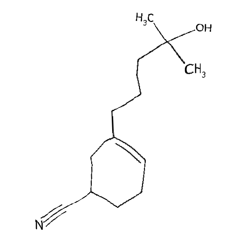 CC(C)(O)CCCC1=CCCC(C#N)C1